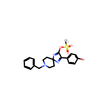 O=S(=O)(OC1=NC2(CCN(Cc3ccccc3)CC2)N=C1c1ccc(Br)cc1)C(F)(F)F